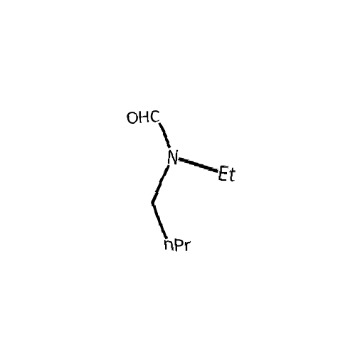 CCCCN(C=O)CC